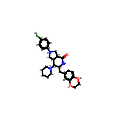 O=C1NC(Cc2ccc3c(c2)OCCO3)C(N2CCCCC2)C2CN(c3ccc(F)cc3)CC12